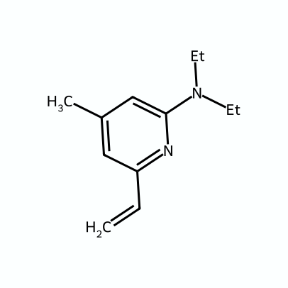 C=Cc1cc(C)cc(N(CC)CC)n1